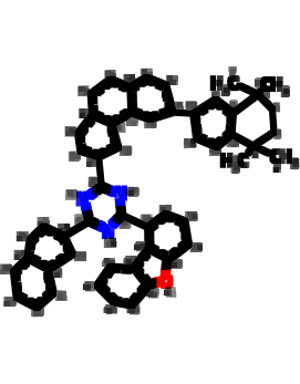 CC1(C)CCC(C)(C)c2cc(-c3ccc4ccc5ccc(-c6nc(-c7ccc8ccccc8c7)nc(-c7cccc8oc9ccccc9c78)n6)cc5c4c3)ccc21